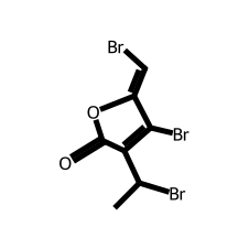 CC(Br)C1=C(Br)/C(=C/Br)OC1=O